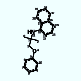 CC(C)(COc1ccccc1)Nc1ncnc2ccccc12